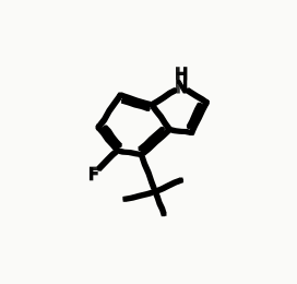 CC(C)(C)c1c(F)ccc2[nH]ccc12